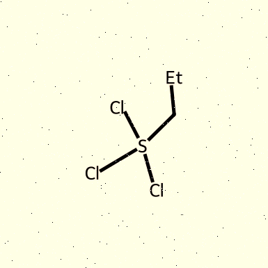 CCCS(Cl)(Cl)Cl